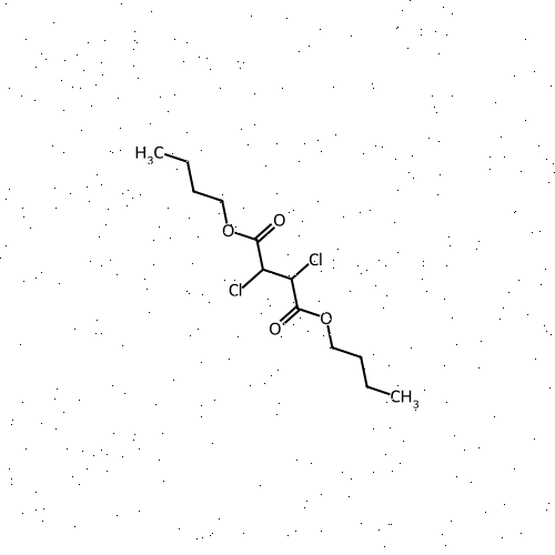 CCCCOC(=O)C(Cl)C(Cl)C(=O)OCCCC